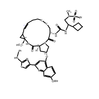 COc1ccc2c(O[C@@H]3C[C@H]4C(=O)N[C@]5(C(=O)O)CC5/C=C\CCCCC[C@H](NC(=O)NC(CN(C)S(=O)(=O)C(C)C)C5CCC5)C(=O)N4C3)cc(-c3csc(NC(C)C)n3)nc2c1